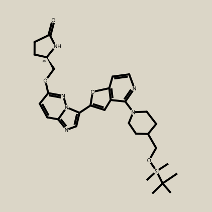 CC(C)(C)[Si](C)(C)OCC1CCN(c2nccc3oc(-c4cnc5ccc(OC[C@H]6CCC(=O)N6)nn45)cc23)CC1